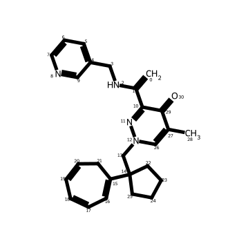 C=C(NCc1cccnc1)c1nn(CC2(C3=CC=CC=CC3)CCCC2)cc(C)c1=O